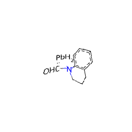 O=CN1CCCc2ccccc21.[PbH2]